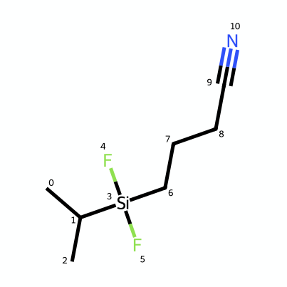 CC(C)[Si](F)(F)CCCC#N